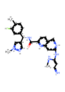 CN/C(=C\C=N)Nc1cc2nc(C(=O)N[C@@H](c3ccc(C)c(F)c3)c3cnn(C)c3)ccc2cn1